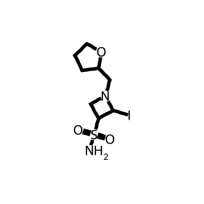 NS(=O)(=O)C1CN(CC2CCCO2)C1I